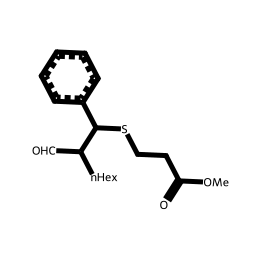 CCCCCCC(C=O)C(SCCC(=O)OC)c1ccccc1